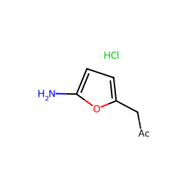 CC(=O)Cc1ccc(N)o1.Cl